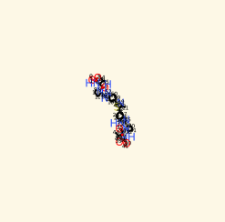 COC(=O)N[C@H](C(=O)N1CCC[C@H]1c1nc2cc(-c3nc(C)c(-c4ccc5[nH]c([C@@H]6CCCN6C(=O)[C@@H](NC(=O)OC)C(C)C)nc5c4)s3)ccc2[nH]1)C(C)C